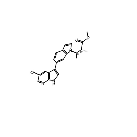 COC(=O)[C@H](C)[C@@H](C)n1ccc2ccc(-c3c[nH]c4ncc(Cl)cc34)cc21